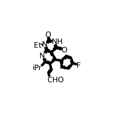 CCn1c(=O)[nH]c(=O)c2c(-c3ccc(F)cc3)c(C=CC=O)c(C(C)C)nc21